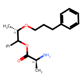 CC(C)C(OC(=O)[C@H](C)N)[C@H](C)OCCCc1ccccc1